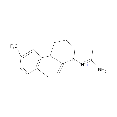 C=C1C(c2cc(C(F)(F)F)ccc2C)CCCN1/N=C(\C)N